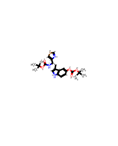 CC(C)(C)OC(=O)N[C@@H](Cc1c[nH]c2ccc(OC(=O)OC(C)(C)C)cc12)c1cscn1